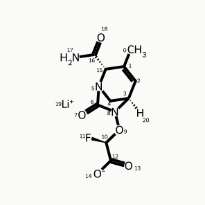 CC1=C[C@@H]2CN(C(=O)N2O[C@H](F)C(=O)[O-])[C@@H]1C(N)=O.[Li+]